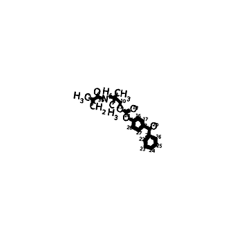 C=C(C)C(=O)NCC(C)(C)COC(=O)Oc1ccc(C(=O)c2ccccc2)cc1